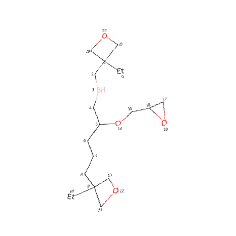 CCC1(CBCC(CCCC2(CC)COC2)OCC2CO2)COC1